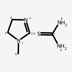 CN1C=NCC1.NC(N)=S